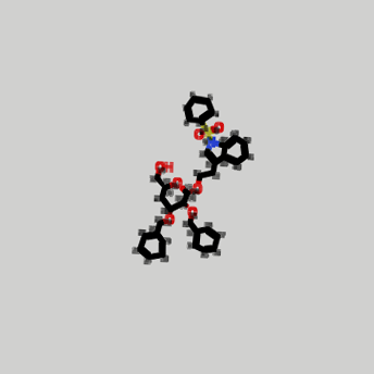 O=S(=O)(c1ccccc1)n1cc(CCO[C@@H]2O[C@H](CO)C[C@H](OCc3ccccc3)[C@H]2OCc2ccccc2)c2ccccc21